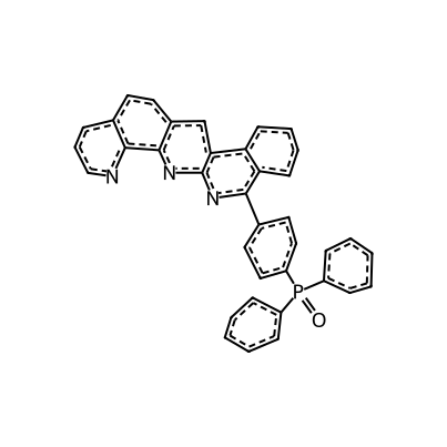 O=P(c1ccccc1)(c1ccccc1)c1ccc(-c2nc3nc4c(ccc5cccnc54)cc3c3ccccc23)cc1